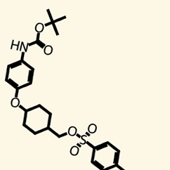 Cc1ccc(S(=O)(=O)OCC2CCC(Oc3ccc(NC(=O)OC(C)(C)C)cc3)CC2)cc1